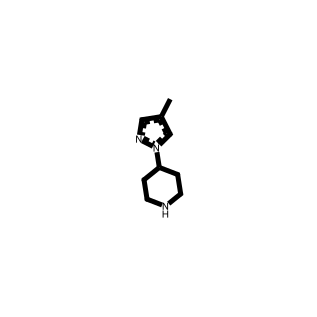 Cc1cnn(C2CCNCC2)c1